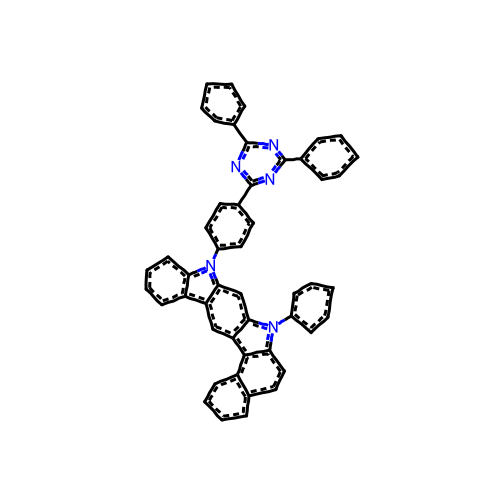 c1ccc(-c2nc(-c3ccccc3)nc(-c3ccc(-n4c5ccccc5c5cc6c7c8ccccc8ccc7n(-c7ccccc7)c6cc54)cc3)n2)cc1